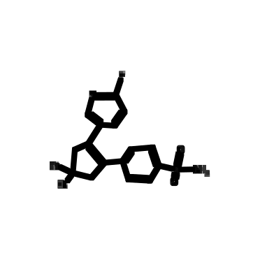 CCC1(CC)CC(c2ccc(S(N)(=O)=O)cc2)=C(c2ccc(F)nc2)C1